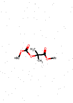 CCCCOC(=O)OC(C)(C)C(=O)OC(C)C